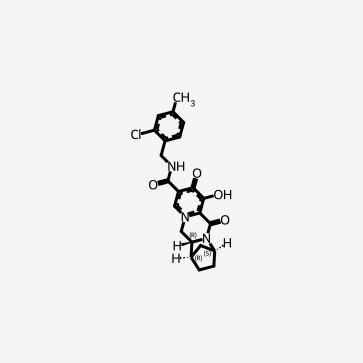 Cc1ccc(CNC(=O)c2cn3c(c(O)c2=O)C(=O)N2[C@H]4CC[C@H](C4)[C@@H]2C3)c(Cl)c1